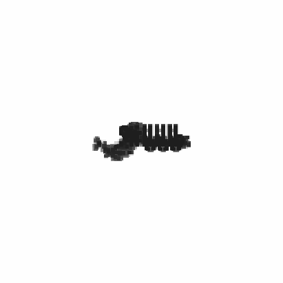 CC(C)CCC[C@@H](C)[C@H]1CCC2C3CC=C4C[C@@H](N(CCCNC(=O)CCNC(=O)CCNC(=O)OC(C)(C)C)S(=O)(=O)c5ccccc5[N+](=O)[O-])CC[C@]4(C)C3CC[C@@]21C